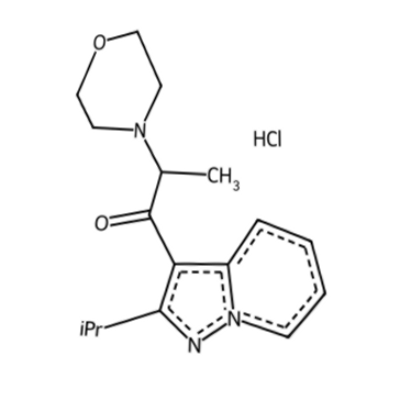 CC(C)c1nn2ccccc2c1C(=O)C(C)N1CCOCC1.Cl